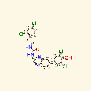 O=C(NCCc1ccc(Cl)cc1Cl)Nc1cnc2ccc(-c3cc(Cl)c(O)c(Cl)c3)cc2n1